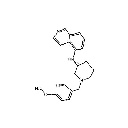 COc1ccc(CN2CCC[C@H](Nc3cccc4cnccc34)C2)cc1